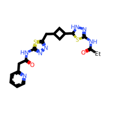 CCC(=O)NC1=NNC(C2CC(Cc3nnc(NC(=O)Cc4ccccn4)s3)C2)S1